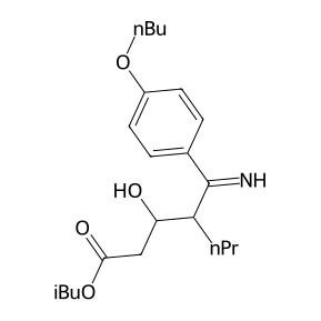 CCCCOc1ccc(C(=N)C(CCC)C(O)CC(=O)OCC(C)C)cc1